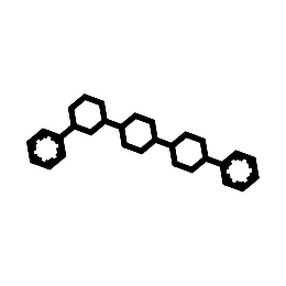 c1ccc(C2CCC(C3CCC(C4CCCC(c5ccccc5)C4)CC3)CC2)cc1